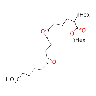 CCCCCCOC(=O)C(CCCCCC)CCCC1OC1CCC1OC1CCCCC(=O)O